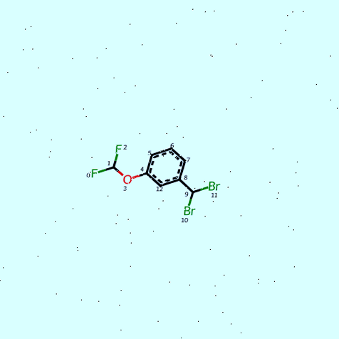 FC(F)Oc1cccc(C(Br)Br)c1